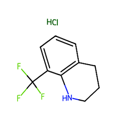 Cl.FC(F)(F)c1cccc2c1NCCC2